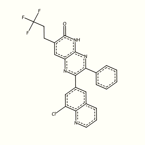 O=c1[nH]c2nc(-c3ccccc3)c(-c3cc(Cl)c4ncccc4c3)nc2cc1CCC(F)(F)F